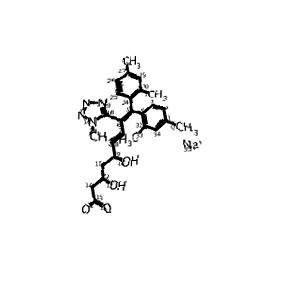 Cc1ccc(C(=C(/C=C/C(O)CC(O)CC(=O)[O-])c2nnnn2C)c2ccc(C)cc2C)c(C)c1.[Na+]